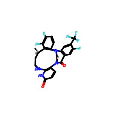 C[C@H]1CCNc2[nH]c(=O)ccc2N2CN(c3cc(C(F)(F)F)c(F)cc3C2=O)c2ccc(F)c(F)c21